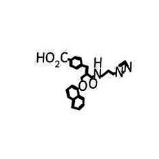 O=C(NCCCn1ccnc1)/C(=C/c1ccc(C(=O)O)cc1)COc1cccc2ccccc12